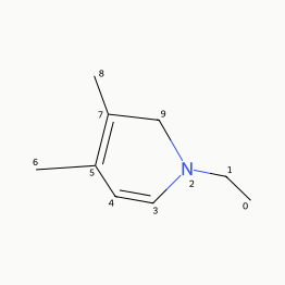 CCN1C=CC(C)=C(C)C1